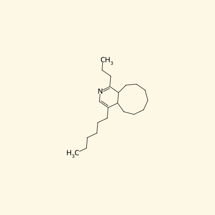 CCCCCCC1=CN=C(CCC)C2CCCCCCCC12